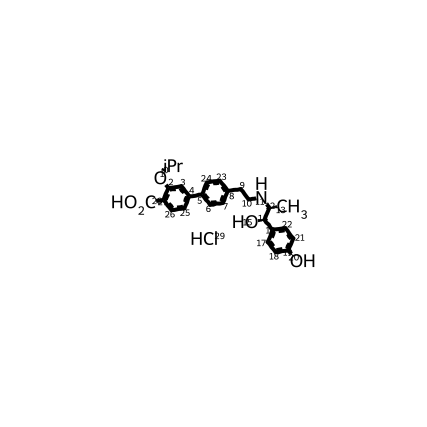 CC(C)Oc1cc(-c2ccc(CCN[C@@H](C)[C@H](O)c3ccc(O)cc3)cc2)ccc1C(=O)O.Cl